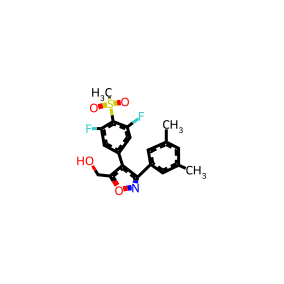 Cc1cc(C)cc(-c2noc(CO)c2-c2cc(F)c(S(C)(=O)=O)c(F)c2)c1